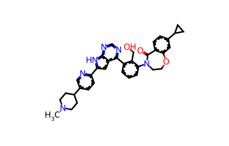 CN1CCC(c2ccc(-c3cc4c(-c5cccc(N6CCOc7cc(C8CC8)ccc7C6=O)c5CO)ncnc4[nH]3)nc2)CC1